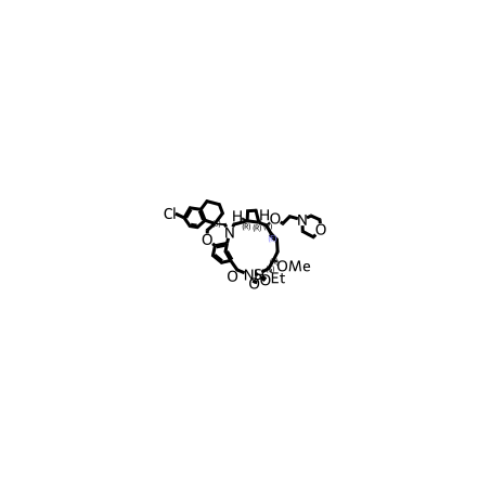 CC[C@H]1[C@H](OC)C/C=C/[C@H](OCCN2CCOCC2)[C@@H]2CC[C@H]2CN2C[C@@]3(CCCc4cc(Cl)ccc43)COc3ccc(cc32)C(=O)NS1(=O)=O